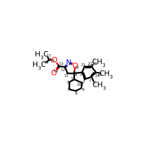 Cc1cc(C2(C3CCCCC3)CC(C(=O)OC(C)C)=NO2)cc(C)c1C